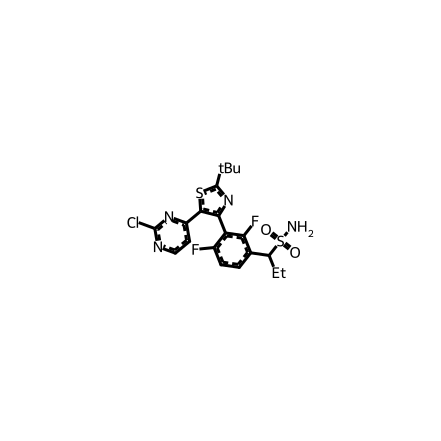 CCC(c1ccc(F)c(-c2nc(C(C)(C)C)sc2-c2ccnc(Cl)n2)c1F)S(N)(=O)=O